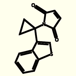 O=C1C=CC(=O)N1C1(c2csc3ccccc23)CC1